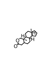 C[C@@]12CCC[C@H]1[C@@H]1CCC3CC(=O)OC[C@]3(C)[C@H]1CC2